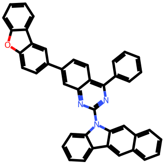 c1ccc(-c2nc(-n3c4ccccc4c4cc5ccccc5cc43)nc3cc(-c4ccc5oc6ccccc6c5c4)ccc23)cc1